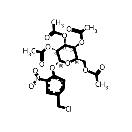 CC(=O)OC[C@H]1O[C@H](Oc2ccc(CCl)cc2[N+](=O)[O-])[C@H](OC(C)=O)[C@@H](OC(C)=O)[C@H]1OC(C)=O